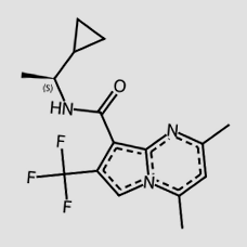 Cc1cc(C)n2cc(C(F)(F)F)c(C(=O)N[C@@H](C)C3CC3)c2n1